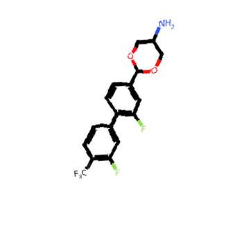 NC1COC(c2ccc(-c3ccc(C(F)(F)F)c(F)c3)c(F)c2)OC1